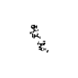 COC(=O)CCC1CC(O)CO1